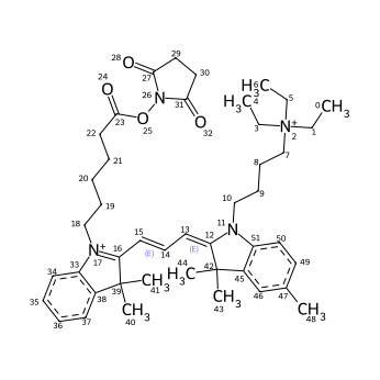 CC[N+](CC)(CC)CCCCN1/C(=C/C=C/C2=[N+](CCCCCC(=O)ON3C(=O)CCC3=O)c3ccccc3C2(C)C)C(C)(C)c2cc(C)ccc21